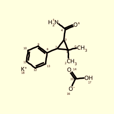 CC1(C)C(C(N)=O)C1c1ccccc1.O=C([O-])O.[K+]